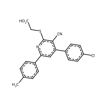 Cc1ccc(-c2cc(-c3ccc(Cl)cc3)c(C#N)c(SCC(=O)O)n2)cc1